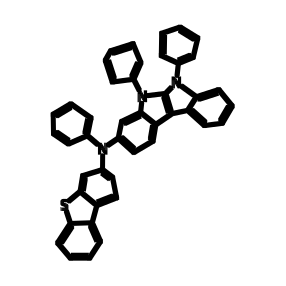 c1ccc(N(c2ccc3c(c2)sc2ccccc23)c2ccc3c4c5ccccc5n(-c5ccccc5)c4n(-c4ccccc4)c3c2)cc1